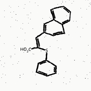 O=C(O)/C(=C/c1ccc2ccccc2c1)Sc1ccccc1